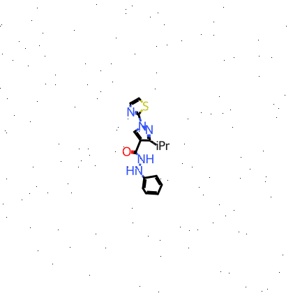 CC(C)c1nn(-c2nccs2)cc1C(=O)NNc1ccccc1